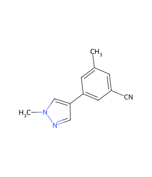 Cc1cc(C#N)cc(-c2cnn(C)c2)c1